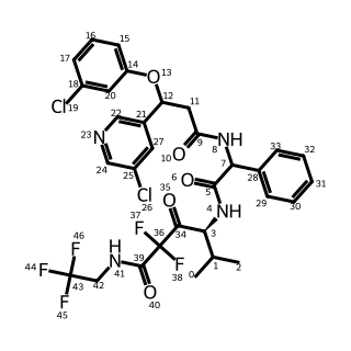 CC(C)[C@H](NC(=O)C(NC(=O)CC(Oc1cccc(Cl)c1)c1cncc(Cl)c1)c1ccccc1)C(=O)C(F)(F)C(=O)NCC(F)(F)F